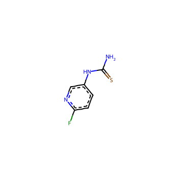 NC(=S)Nc1ccc(F)nc1